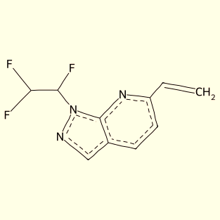 C=Cc1ccc2cnn(C(F)C(F)F)c2n1